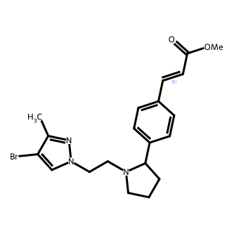 COC(=O)/C=C/c1ccc(C2CCCN2CCn2cc(Br)c(C)n2)cc1